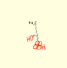 CCCCCCCCC(CCO)CCCOS(=O)(=O)O